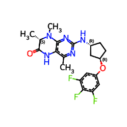 Cc1nc(N[C@@H]2CC[C@@H](Oc3cc(F)c(F)c(F)c3)C2)nc2c1NC(=O)[C@H](C)N2C